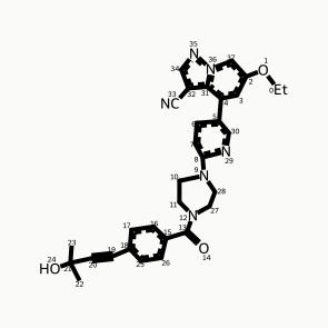 CCOc1cc(-c2ccc(N3CCN(C(=O)c4ccc(C#CC(C)(C)O)cc4)CC3)nc2)c2c(C#N)cnn2c1